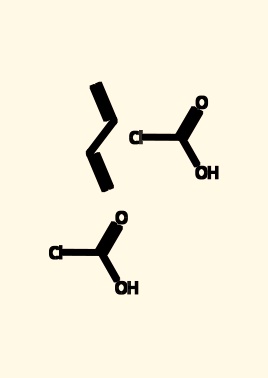 C=CC=C.O=C(O)Cl.O=C(O)Cl